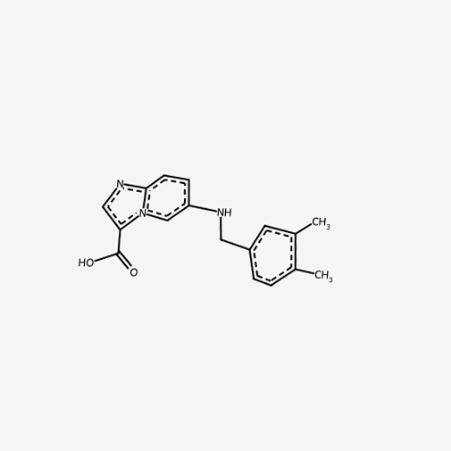 Cc1ccc(CNc2ccc3ncc(C(=O)O)n3c2)cc1C